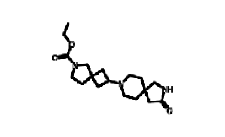 CCOC(=O)N1CCC2(CC(N3CCC4(CC3)CNC(=O)C4)C2)C1